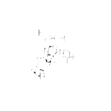 C[C@H](Oc1nc(N2CCC(F)(F)C2)c2nn(Cc3nnnn3C3CC3)nc2n1)C(F)(F)F